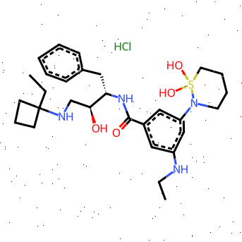 CCNc1cc(C(=O)N[C@@H](Cc2ccccc2)[C@@H](O)CNC2(CC)CCC2)cc(N2CCCCS2(O)O)c1.Cl